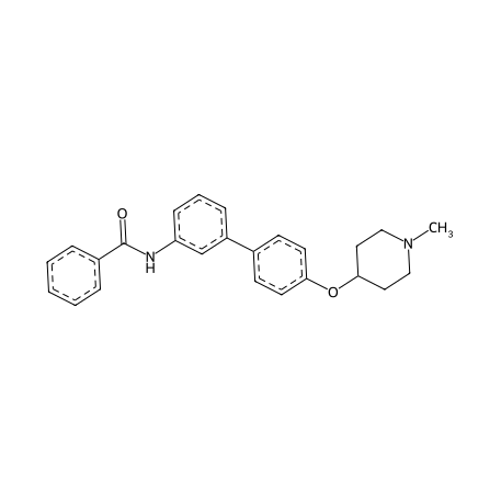 CN1CCC(Oc2ccc(-c3cccc(NC(=O)c4ccccc4)c3)cc2)CC1